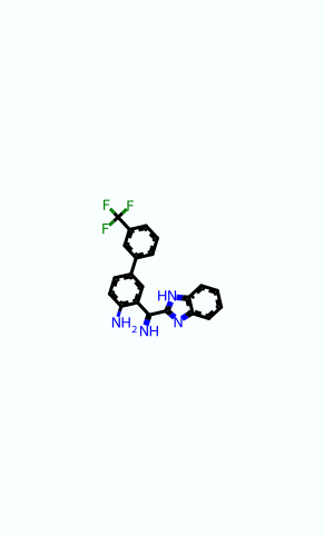 N=C(c1nc2ccccc2[nH]1)c1cc(-c2cccc(C(F)(F)F)c2)ccc1N